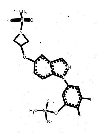 CC(C)(C)[Si](C)(C)Oc1cc(-n2ncc3cc(OC4CN(S(C)(=O)=O)C4)ccc32)cc(F)c1F